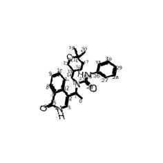 CC(c1c[nH]c(=O)c2ccccc12)N(CC1CCC(C)(C)OC1)C(=O)Nc1ccccc1